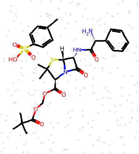 CC(C)(C)C(=O)OCOC(=O)[C@@H]1N2C(=O)[C@@H](NC(=O)[C@H](N)c3ccccc3)[C@H]2SC1(C)C.Cc1ccc(S(=O)(=O)O)cc1